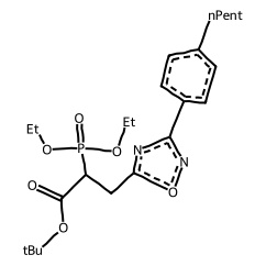 CCCCCc1ccc(-c2noc(CC(C(=O)OC(C)(C)C)P(=O)(OCC)OCC)n2)cc1